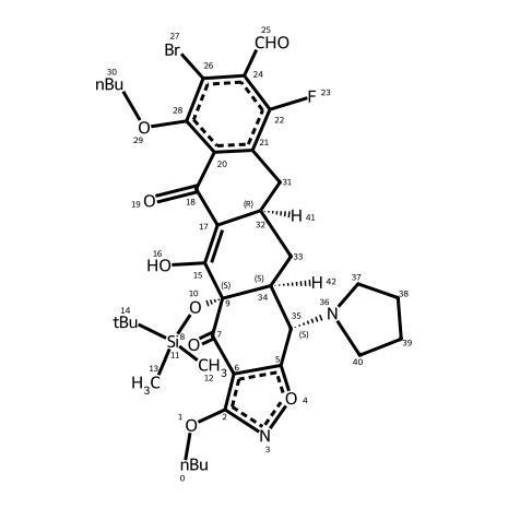 CCCCOc1noc2c1C(=O)[C@@]1(O[Si](C)(C)C(C)(C)C)C(O)=C3C(=O)c4c(c(F)c(C=O)c(Br)c4OCCCC)C[C@H]3C[C@H]1[C@@H]2N1CCCC1